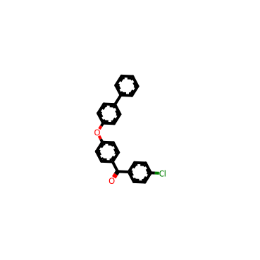 O=C(c1ccc(Cl)cc1)c1ccc(Oc2ccc(-c3ccccc3)cc2)cc1